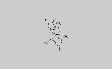 C=C1C[C@@H]2[C@H](CC[C@]3(C)C(=O)C(F)C[C@@H]23)[C@@]2(C)C(C)=CC(=O)C=C12